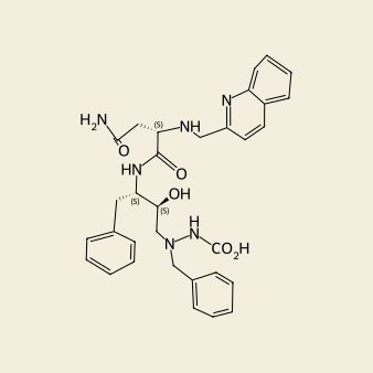 NC(=O)C[C@H](NCc1ccc2ccccc2n1)C(=O)N[C@@H](Cc1ccccc1)[C@@H](O)CN(Cc1ccccc1)NC(=O)O